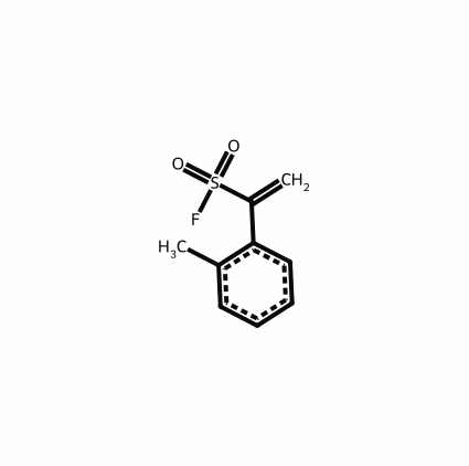 C=C(c1ccccc1C)S(=O)(=O)F